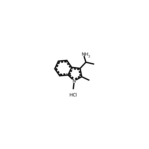 Cc1c(C(C)N)c2ccccc2n1C.Cl